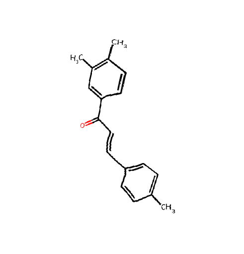 Cc1ccc(C=CC(=O)c2ccc(C)c(C)c2)cc1